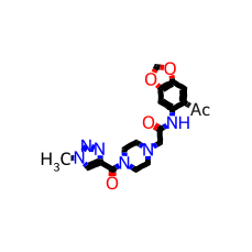 CC(=O)c1cc2c(cc1NC(=O)CN1CCN(C(=O)c3cn(C)nn3)CC1)OCO2